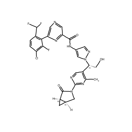 Cc1nc(N2C[C@H]3C[C@H]3C2=O)ncc1[C@@H](CO)n1cc(NC(=O)c2cncc(-c3c(C(F)F)ccc(Cl)c3F)n2)cn1